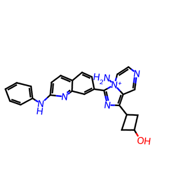 N[N+]12C=CN=CC1=C(C1CC(O)C1)N=C2c1ccc2ccc(Nc3ccccc3)nc2c1